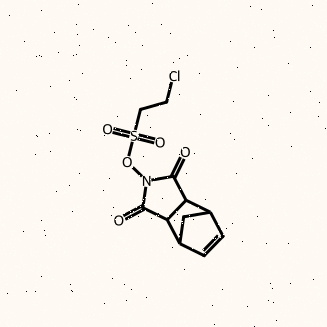 O=C1C2C3C=CC(C3)C2C(=O)N1OS(=O)(=O)CCCl